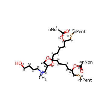 CCCCCCCCCC(=O)OC(CCCCC1(CCCCC(CSCCCCC)OC(=O)CCCCCCCCC)OCC(CN(C)CCCCO)O1)CSCCCCC